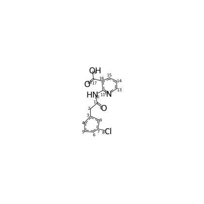 O=C(Cc1cccc(Cl)c1)Nc1ncccc1C(=O)O